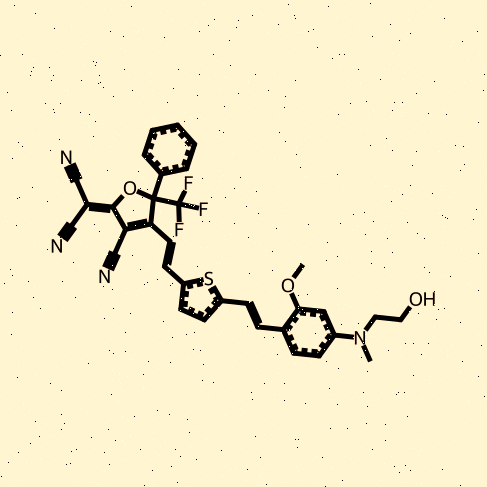 COc1cc(N(C)CCO)ccc1C=Cc1ccc(C=CC2=C(C#N)C(=C(C#N)C#N)OC2(c2ccccc2)C(F)(F)F)s1